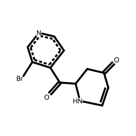 O=C1C=CNC(C(=O)c2ccncc2Br)C1